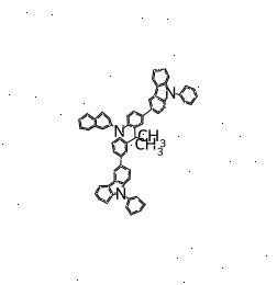 CC1(C)c2cc(-c3ccc4c(c3)c3ccccc3n4-c3ccccc3)ccc2N(c2ccc3ccccc3c2)c2ccc(-c3ccc4c(c3)c3ccccc3n4-c3ccccc3)cc21